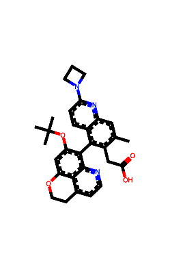 Cc1cc2nc(N3CCC3)ccc2c(-c2c(OC(C)(C)C)cc3c4c(ccnc24)CCO3)c1CC(=O)O